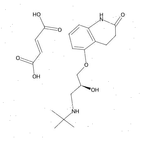 CC(C)(C)NC[C@H](O)COc1cccc2c1CCC(=O)N2.O=C(O)C=CC(=O)O